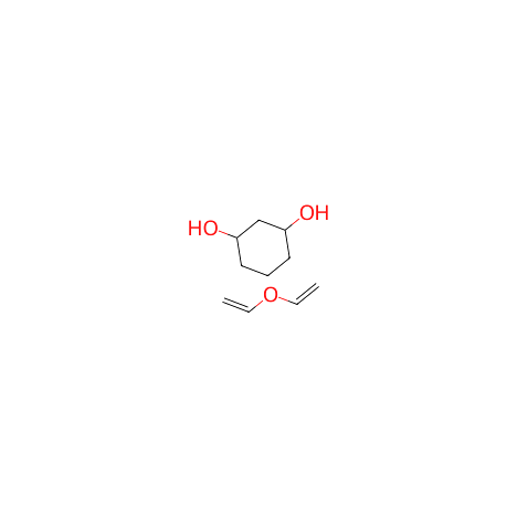 C=COC=C.OC1CCCC(O)C1